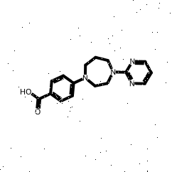 O=C(O)c1ccc(N2CCCN(c3ncccn3)CC2)cc1